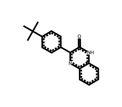 CC(C)(C)c1ccc(-c2nc3ccccc3[nH]c2=O)cc1